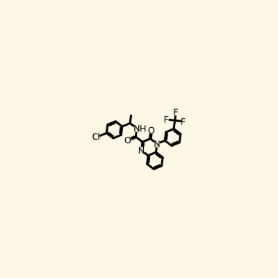 CC(NC(=O)c1nc2ccccc2n(-c2cccc(C(F)(F)F)c2)c1=O)c1ccc(Cl)cc1